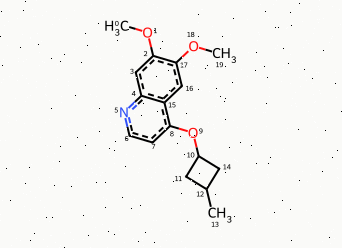 COc1cc2nccc(OC3CC(C)C3)c2cc1OC